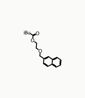 CCC(C)C(=O)OCCOCc1ccc2ccccc2c1